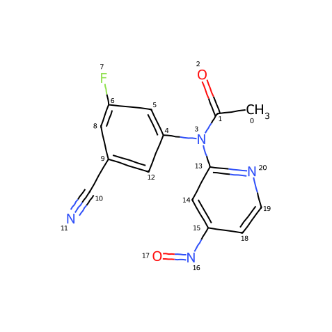 CC(=O)N(c1cc(F)cc(C#N)c1)c1cc(N=O)ccn1